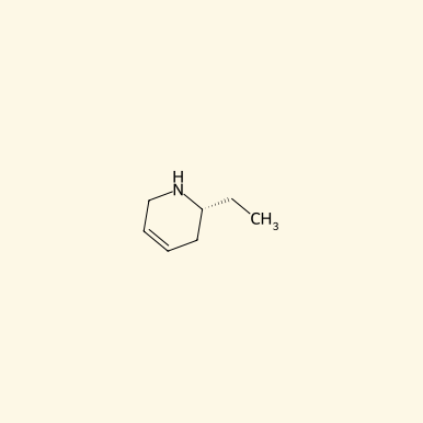 CC[C@@H]1CC=CCN1